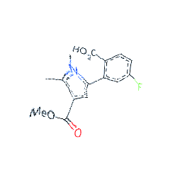 COC(=O)c1cc(-c2cc(F)ccc2C(=O)O)n(C)c1C